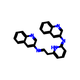 C(Cc1cccc(=Nc2cnc3ccccc3c2)[nH]1)=Nc1cnc2ccccc2c1